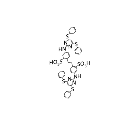 O=S(=O)(O)c1cc(Nc2nc(Sc3ccccc3)cc(Sc3ccccc3)n2)ccc1C=Cc1ccc(Nc2nc(Sc3ccccc3)cc(Sc3ccccc3)n2)cc1S(=O)(=O)O